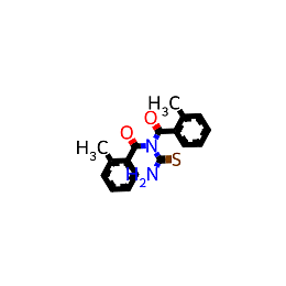 Cc1ccccc1C(=O)N(C(=O)c1ccccc1C)C(N)=S